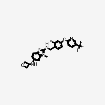 Cn1c(NCc2ccc(Oc3ccc(C(F)(F)F)cn3)cc2F)nc2ccc(NC3COC3)cc21